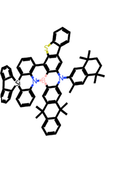 Cc1cc2c(cc1N1c3cc4c(cc3B3c5c1cc1c(sc6ccccc61)c5-c1cccc5c1N3c1ccccc1[Si]51c3ccccc3-c3ccccc31)C(C)(C)c1ccccc1C4(C)C)C(C)(C)CCC2(C)C